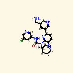 NCc1cncc(-c2ccc3c(n2)N(C(=O)Nc2cncc(F)c2)[C@H]2CCCN3C2)c1